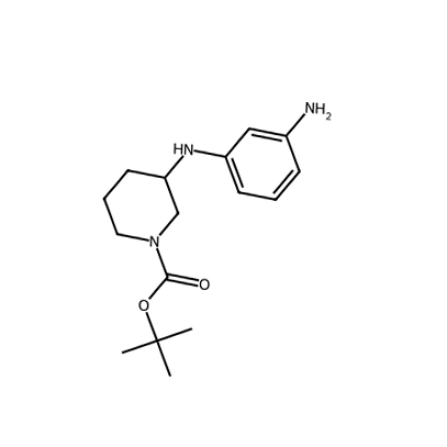 CC(C)(C)OC(=O)N1CCCC(Nc2cccc(N)c2)C1